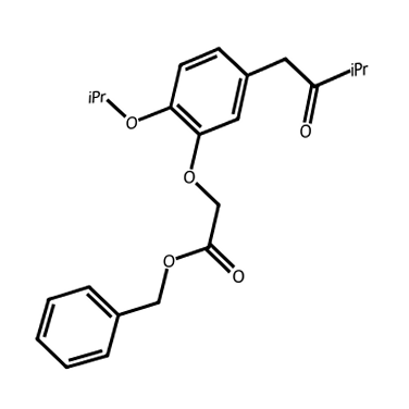 CC(C)Oc1ccc(CC(=O)C(C)C)cc1OCC(=O)OCc1ccccc1